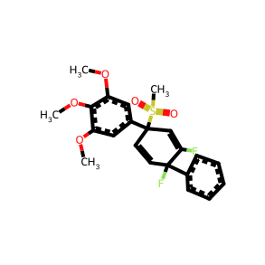 COc1cc(C2(S(C)(=O)=O)C=CC(F)(c3ccccc3)C(F)=C2)cc(OC)c1OC